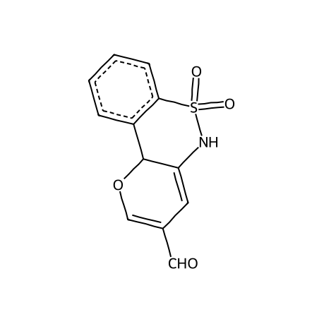 O=CC1=COC2C(=C1)NS(=O)(=O)c1ccccc12